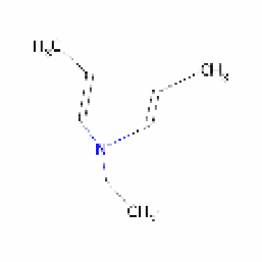 [CH2]CN(C=CC)C=CC